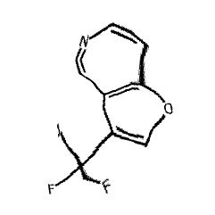 FC(F)(I)c1coc2ccncc12